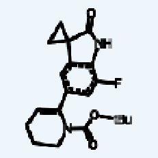 CC(C)(C)OC(=O)N1CCCC=C1c1cc(F)c2c(c1)C1(CC1)C(=O)N2